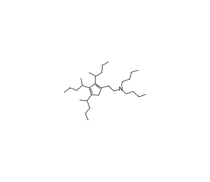 CCCCN(CCCC)CCC1=C(C(C)CCC)C(C(C)CCC)=C(C(C)CCC)C1